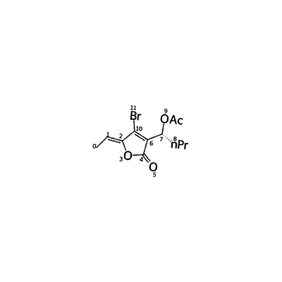 C/C=C1\OC(=O)C([C@@H](CCC)OC(C)=O)=C1Br